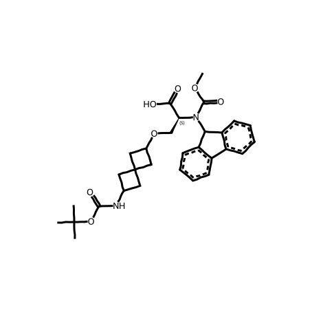 COC(=O)N(C1c2ccccc2-c2ccccc21)[C@@H](COC1CC2(CC(NC(=O)OC(C)(C)C)C2)C1)C(=O)O